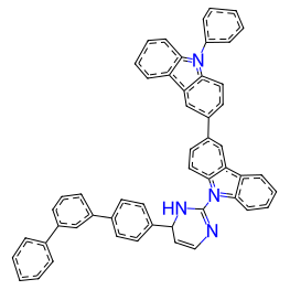 C1=CC(c2ccc(-c3cccc(-c4ccccc4)c3)cc2)NC(n2c3ccccc3c3cc(-c4ccc5c(c4)c4ccccc4n5-c4ccccc4)ccc32)=N1